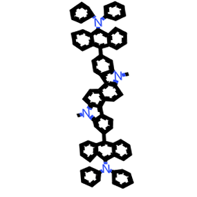 Cn1c2cc(-c3c4ccccc4c(N(c4ccccc4)c4ccccc4)c4ccccc34)ccc2c2c3ccc4c(c3ccc21)c1ccc(-c2c3ccccc3c(N(c3ccccc3)c3ccccc3)c3ccccc23)cc1n4C